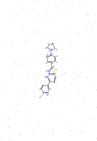 Fc1ccc(-c2ccc3sc(-c4ccc(N5CCCC5)nc4)nc3n2)cn1